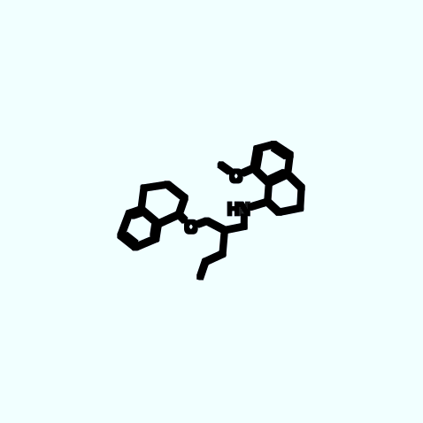 CCCC(CNC1CCCc2cccc(OC)c21)COC1CCCc2ccccc21